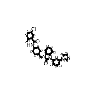 Cc1ncc(Cl)cc1C(=O)NC1CCC(Cn2c(=O)n(-c3cccc(-n4ccnn4)n3)c3ccccc32)CC1